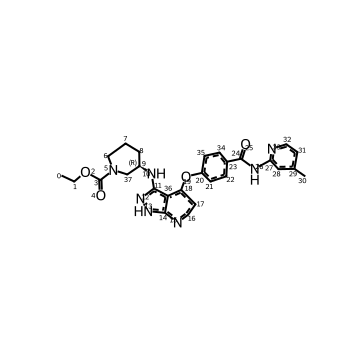 CCOC(=O)N1CCC[C@@H](Nc2n[nH]c3nccc(Oc4ccc(C(=O)Nc5cc(C)ccn5)cc4)c23)C1